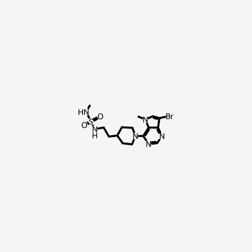 CNS(=O)(=O)NCCC1CCN(c2ncnc3c(Br)cn(C)c23)CC1